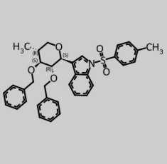 Cc1ccc(S(=O)(=O)n2cc([C@@H]3OC[C@@H](C)[C@H](OCc4ccccc4)[C@H]3OCc3ccccc3)c3ccccc32)cc1